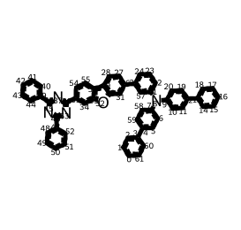 c1ccc(-c2ccc(N(c3ccc(-c4ccccc4)cc3)c3cccc(-c4ccc5c(c4)oc4cc(-c6nc(-c7ccccc7)nc(-c7ccccc7)n6)ccc45)c3)cc2)cc1